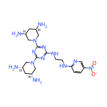 N[C@@H]1C[C@H](N)CN(c2nc(NCCNc3ccc([N+](=O)[O-])cn3)nc(N3C[C@H](N)C[C@H](N)C3)n2)C1